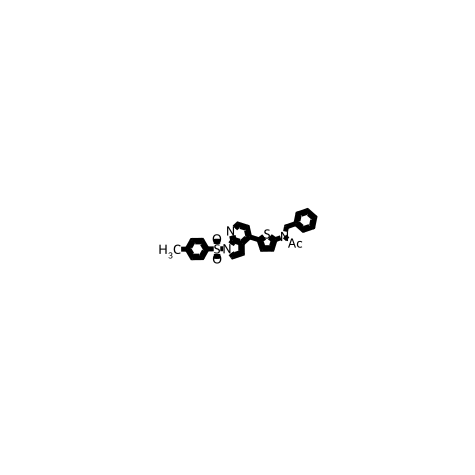 CC(=O)N(Cc1ccccc1)c1ccc(-c2ccnc3c2ccn3S(=O)(=O)c2ccc(C)cc2)s1